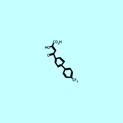 O=C(O)C(O)=CC(=O)c1ccc(-c2ccc(C(F)(F)F)cc2)cc1